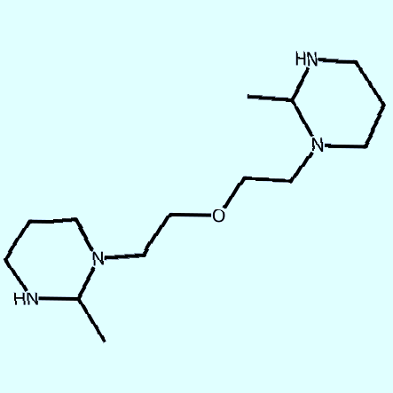 CC1NCCCN1CCOCCN1CCCNC1C